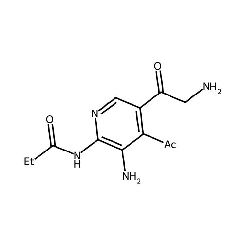 CCC(=O)Nc1ncc(C(=O)CN)c(C(C)=O)c1N